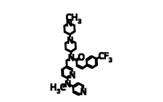 CN1CCC(N2CCC(N(Cc3ccc(N(C)c4ccncc4)nc3)C(=O)C=Cc3ccc(C(F)(F)F)cc3)CC2)CC1